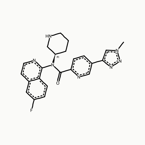 Cn1cc(-c2ccc(C(=O)N(c3nccc4cc(F)ccc34)[C@@H]3CCCNC3)nc2)nn1